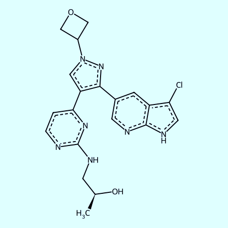 C[C@H](O)CNc1nccc(-c2cn(C3COC3)nc2-c2cnc3[nH]cc(Cl)c3c2)n1